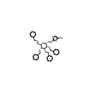 CC(=O)c1cnc(SC[C@H]2O[C@H](COCc3ccccc3)[C@@H](OCc3ccccc3)[C@H](OCc3ccccc3)[C@@H]2OCc2ccccc2)s1